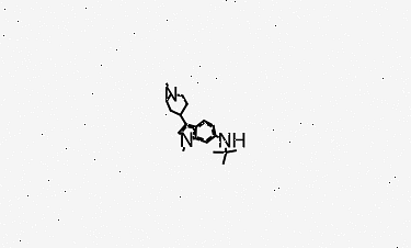 CN1CCC(c2cn(C)c3cc(NC(C)(C)C)ccc23)CC1